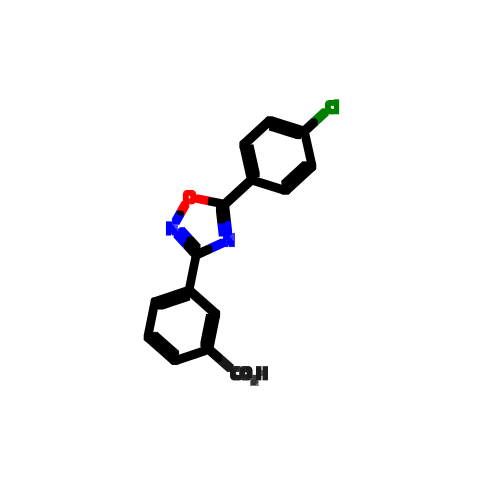 O=C(O)c1cccc(-c2noc(-c3ccc(Cl)cc3)n2)c1